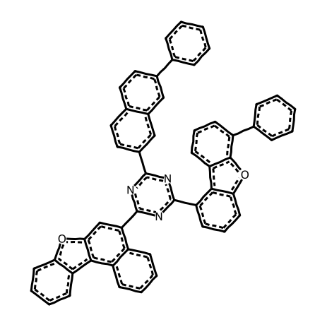 c1ccc(-c2ccc3ccc(-c4nc(-c5cc6oc7ccccc7c6c6ccccc56)nc(-c5cccc6oc7c(-c8ccccc8)cccc7c56)n4)cc3c2)cc1